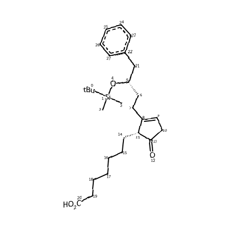 CC(C)(C)[Si](C)(C)O[C@@H](CCC1=CCC(=O)[C@@H]1CCCCCCC(=O)O)Cc1ccccc1